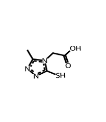 Cc1nnc(S)n1CC(=O)O